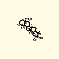 C[C@H]1[C@H](C)CC[C@]2(C(=O)O)CC[C@]3(C)C(=CC[C@@H]4[C@@]5(C)C[C@H](O)[C@H](O)C(C)(C)C5CC[C@]43C)[C@H]12